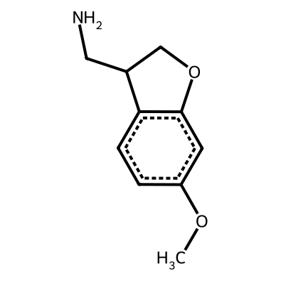 COc1ccc2c(c1)OCC2CN